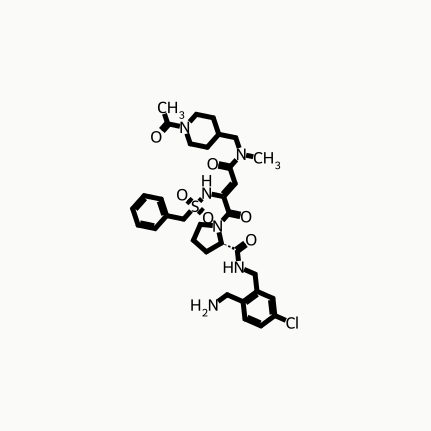 CC(=O)N1CCC(CN(C)C(=O)/C=C(\NS(=O)(=O)Cc2ccccc2)C(=O)N2CCC[C@H]2C(=O)NCc2cc(Cl)ccc2CN)CC1